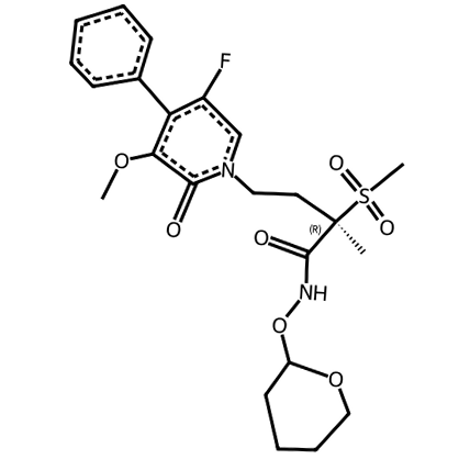 COc1c(-c2ccccc2)c(F)cn(CC[C@](C)(C(=O)NOC2CCCCO2)S(C)(=O)=O)c1=O